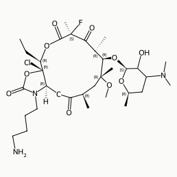 CC[C@H]1OC(=O)[C@@](C)(F)C(=O)[C@H](C)[C@@H](O[C@@H]2O[C@H](C)CC(N(C)C)C2O)[C@](C)(OC)C[C@@H](C)C(=O)C[C@H]2N(CCCCN)C(=O)O[C@]12Cl